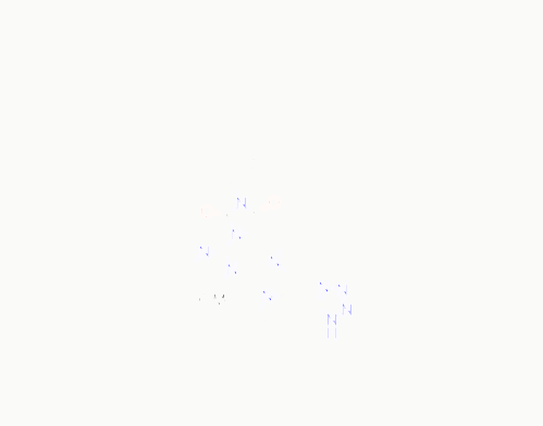 COc1ccnc(N2C(=O)N(c3ccc(-c4ccccc4)cc3)C(=O)C23CCN(Cc2ncccc2-c2nnn[nH]2)CC3)n1